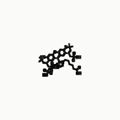 CC1(C)C=C(CS(=O)(=O)O)c2cc3c(cc2=N1)Oc1cc2c(cc1C=3c1n(CCCCCC(=O)O)cc[n+]1CCCS(=O)(=O)O)C(CS(=O)(=O)O)=CC(C)(C)N2